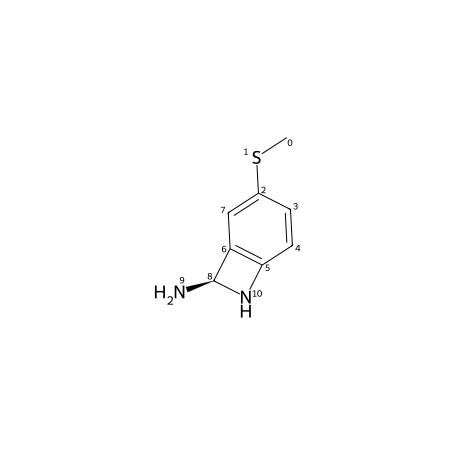 CSc1ccc2c(c1)[C@H](N)N2